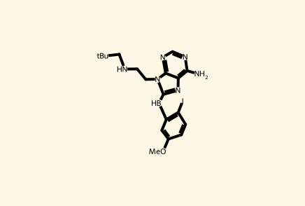 COc1ccc(I)c(Bc2nc3c(N)ncnc3n2CCNCC(C)(C)C)c1